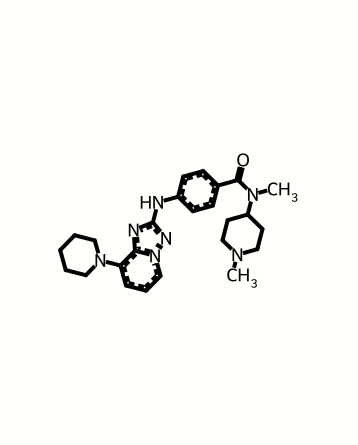 CN1CCC(N(C)C(=O)c2ccc(Nc3nc4c(N5CCCCC5)cccn4n3)cc2)CC1